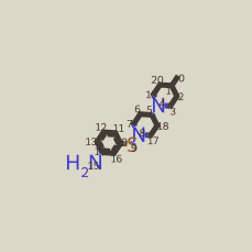 CC1CCN(C2CCN(Sc3cccc(N)c3)CC2)CC1